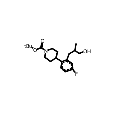 CC(CO)Cc1cc(F)ccc1C1CCN(C(=O)OC(C)(C)C)CC1